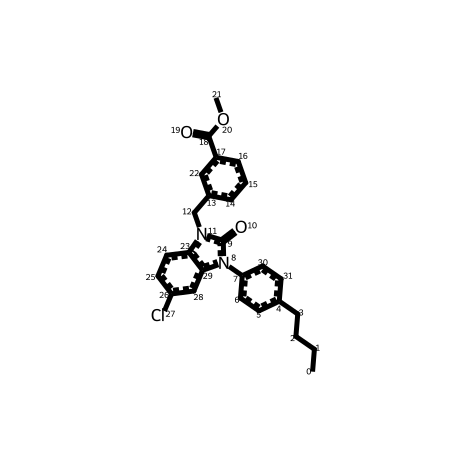 CCCCc1ccc(-n2c(=O)n(Cc3cccc(C(=O)OC)c3)c3ccc(Cl)cc32)cc1